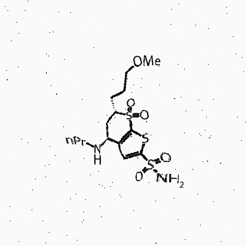 CCCN[C@H]1C[C@H](CCCOC)S(=O)(=O)c2sc(S(N)(=O)=O)cc21